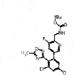 Cc1nc(-c2c(Cl)cc(Cl)cc2-c2cnc(CNC(=O)OC(C)(C)C)c(F)c2)no1